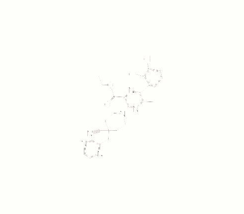 CCOC(=O)c1nc(-c2cccc(Cl)c2Cl)c(C)nc1N1CCC(C#N)(Cc2cnccn2)CC1